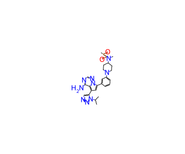 CC(C)n1nncc1-c1cc(-c2cccc(N3CCC(N(C)S(C)(=O)=O)CC3)c2)n2ncnc(N)c12